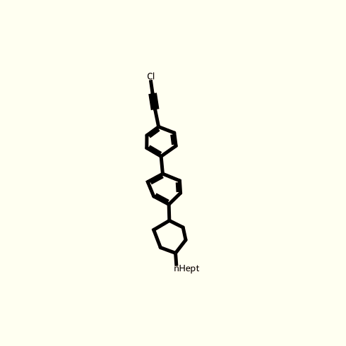 CCCCCCCC1CCC(c2ccc(-c3ccc(C#CCl)cc3)cc2)CC1